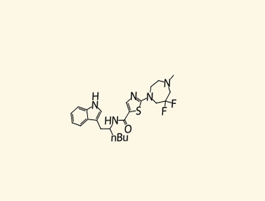 CCCCC(Cc1c[nH]c2ccccc12)NC(=O)c1cnc(N2CCN(C)CC(F)(F)C2)s1